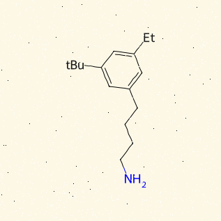 CCc1cc(CCCCN)cc(C(C)(C)C)c1